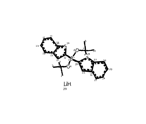 CC(C)(C)O[B-](OC(C)(C)C)(c1cc2ccccc2s1)c1cc2ccccc2s1.[LiH]